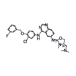 CN(C)C[C@@H]1CO/C(=N\c2ccc3ncnc(Nc4ccc(OCc5cccc(F)c5)c(Cl)c4)c3c2)N1C